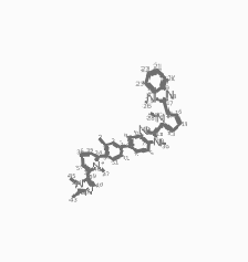 Cc1cc(-c2ccc3c(c2)nc(-c2cccc(-c4nc5ccccc5n4C)[n+]2C)n3C)ccc1-c1cccc(-c2cnc(C)n2C)[n+]1C